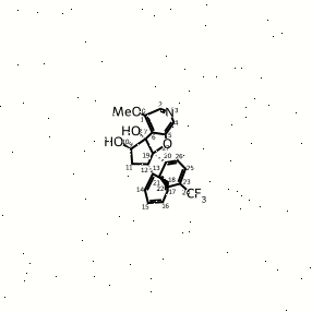 COc1cncc2c1[C@]1(O)[C@H](O)C[C@@H](c3ccccc3)[C@]1(c1ccc(C(F)(F)F)cc1)O2